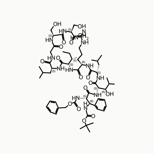 CC[C@H](C)[C@H](NC(=O)[C@@H](CCCNC(=N)N)NC(=O)[C@H](CC(C)C)NC(=O)[C@@H](NC(=O)[C@@H](NC(=O)OCc1ccccc1)[C@H](NC(=O)OC(C)(C)C)c1ccccc1)[C@H](O)C(C)C)C(=O)N[C@@H](CC(C)C)C(=O)NCC(=O)N[C@@H](CO)C(=O)N[C@@H](CO)C(=O)O